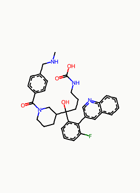 CNCc1ccc(C(=O)N2CCCC(C(O)(CCCNC(=O)O)c3cccc(F)c3-c3cnc4ccccc4c3)C2)cc1